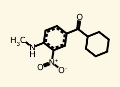 CNc1ccc(C(=O)C2CCCCC2)cc1[N+](=O)[O-]